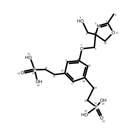 CC1=NC(CO)(COc2cc(CCP(=O)(O)O)cc(CCP(=O)(O)O)c2)CO1